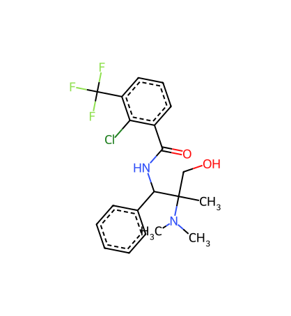 CN(C)C(C)(CO)C(NC(=O)c1cccc(C(F)(F)F)c1Cl)c1ccccc1